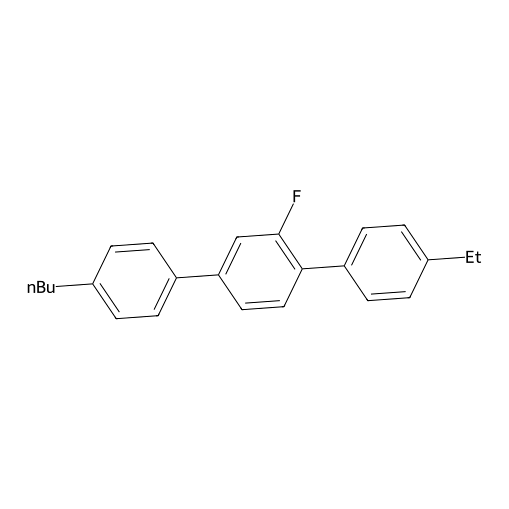 CCCCc1ccc(-c2ccc(-c3ccc(CC)cc3)c(F)c2)cc1